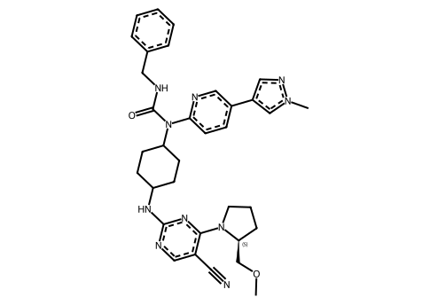 COC[C@@H]1CCCN1c1nc(NC2CCC(N(C(=O)NCc3ccccc3)c3ccc(-c4cnn(C)c4)cn3)CC2)ncc1C#N